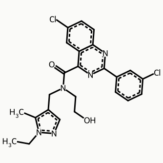 CCn1ncc(CN(CCO)C(=O)c2nc(-c3cccc(Cl)c3)nc3ccc(Cl)cc23)c1C